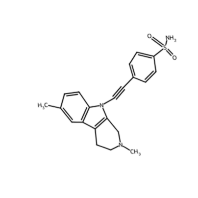 Cc1ccc2c(c1)c1c(n2C#Cc2ccc(S(N)(=O)=O)cc2)CN(C)CC1